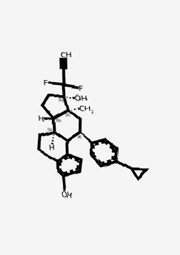 C#CC(F)(F)[C@]1(O)CC[C@H]2[C@@H]3CCc4cc(O)ccc4C3[C@H](c3ccc(C4CC4)cc3)C[C@@]21C